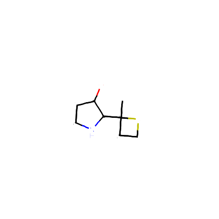 CC1(C2NCCC2O)CCS1